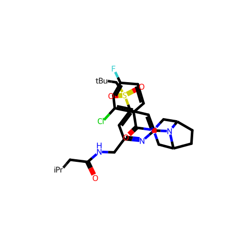 CC(C)CC(=O)NCc1cc(S(=O)(=O)CC(C)(C)C)cc(N2C3CCC2CN(C(=O)c2ccc(F)cc2Cl)C3)n1